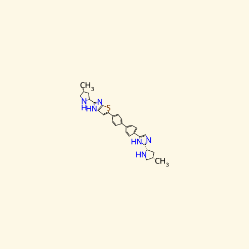 C[C@@H]1CNC(c2nc3sc(-c4ccc(-c5ccc(-c6cnc([C@@H]7C[C@H](C)CN7)[nH]6)cc5)cc4)cc3[nH]2)C1